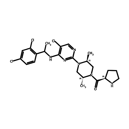 CC(Nc1nc(N2C[C@@H](C)N(C(=O)[C@H]3CCCN3)C[C@@H]2C)ncc1Cl)c1ccc(Cl)cc1Cl